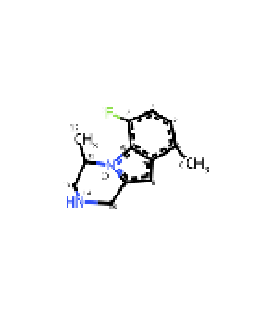 Cc1ccc(F)c2c1cc1n2C(C)CNC1